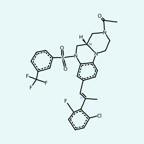 CC(=O)N1CCN2c3ccc(/C=C(\C)c4c(F)cccc4Cl)cc3N(S(=O)(=O)c3cccc(C(F)(F)F)c3)C[C@@H]2C1